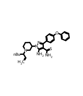 C=CC(CCCC)N1CCCC(n2nc(-c3ccc(Oc4ccccc4)cc3)c(C(N)=S)c2N)C1